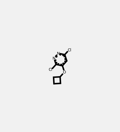 Clc1cc(OC2CCC2)c(Cl)nn1